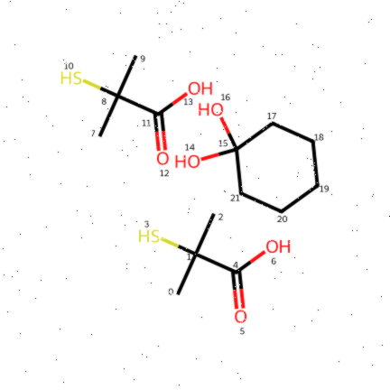 CC(C)(S)C(=O)O.CC(C)(S)C(=O)O.OC1(O)CCCCC1